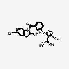 CC(C)NC(=N)c1c(O)nsc1Nc1cccc(C(=O)N2c3ccc(Br)cc3CC2O)c1